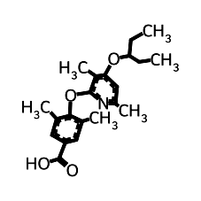 CCC(CC)Oc1cc(C)nc(Oc2c(C)cc(C(=O)O)cc2C)c1C